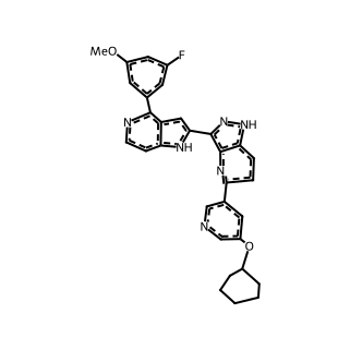 COc1cc(F)cc(-c2nccc3[nH]c(-c4n[nH]c5ccc(-c6cncc(OC7CCCCC7)c6)nc45)cc23)c1